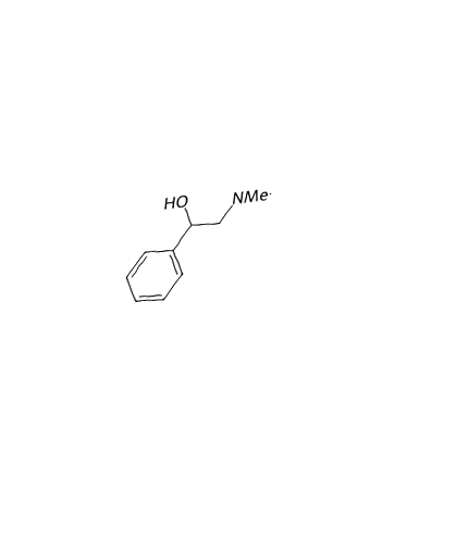 C[N]CC(O)c1ccccc1